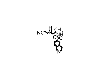 CC(CNCCC#N)NS(=O)(=O)c1ccc2cnccc2c1